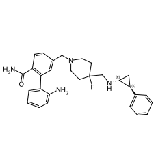 NC(=O)c1ccc(CN2CCC(F)(CN[C@@H]3C[C@H]3c3ccccc3)CC2)cc1-c1ccccc1N